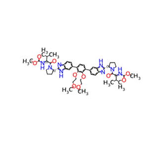 COCCOc1c(-c2ccc3nc([C@@H]4CCCN4C(=O)[C@@H](NC(=O)OC)C(C)C)[nH]c3c2)ccc(-c2ccc3nc([C@@H]4CCCN4C(=O)[C@@H](NC(=O)OC)C(C)C)[nH]c3c2)c1OCCOC